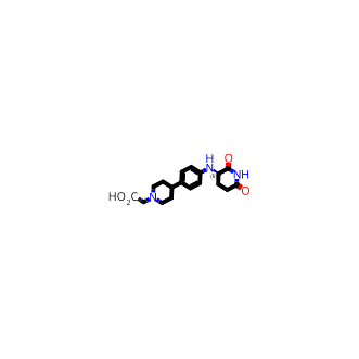 O=C(O)CN1CCC(c2ccc(N[C@@H]3CCC(=O)NC3=O)cc2)CC1